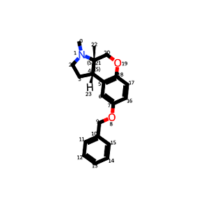 CN1CC[C@H]2c3cc(OCc4ccccc4)ccc3OC[C@]21C